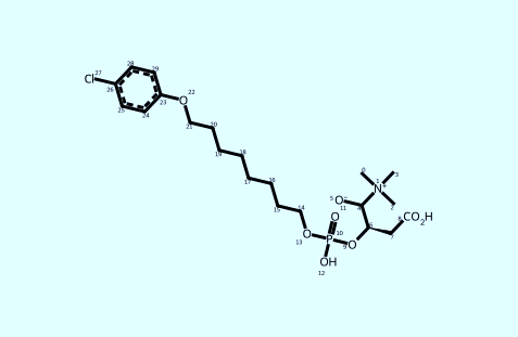 C[N+](C)(C)C([O-])[C@@H](CC(=O)O)OP(=O)(O)OCCCCCCCCOc1ccc(Cl)cc1